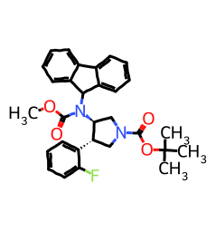 COC(=O)N(C1c2ccccc2-c2ccccc21)[C@H]1CN(C(=O)OC(C)(C)C)C[C@@H]1c1ccccc1F